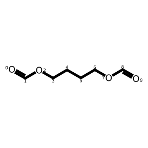 O=COCCCCOC=O